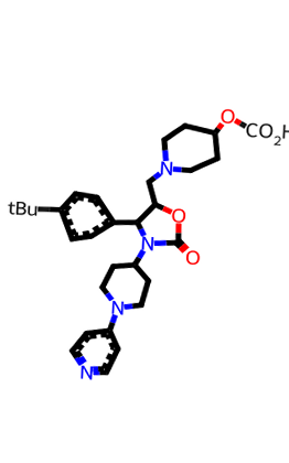 CC(C)(C)c1ccc(C2C(CN3CCC(OC(=O)O)CC3)OC(=O)N2C2CCN(c3ccncc3)CC2)cc1